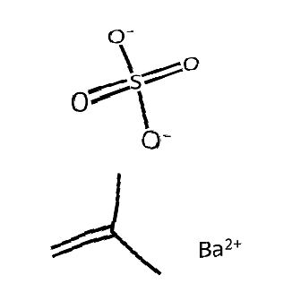 C=C(C)C.O=S(=O)([O-])[O-].[Ba+2]